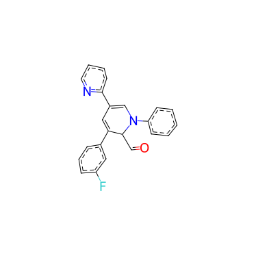 O=CC1C(c2cccc(F)c2)=CC(c2ccccn2)=CN1c1ccccc1